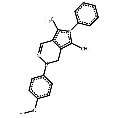 CCOc1ccc(N2Cc3c(c(C)n(-c4ccccc4)c3C)C=N2)cc1